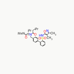 CNC(=O)[C@H](C(C)C)N(Cc1ccc(-c2ccccc2S(=O)(=O)Nc2onc(C)c2C)cc1)C(=O)CC(C)C